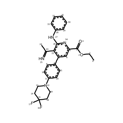 CCOC(=O)c1cc(-c2ccc(N3CCC(F)(F)CC3)cc2)c(C(C)=N)c(Nc2ccccc2)n1